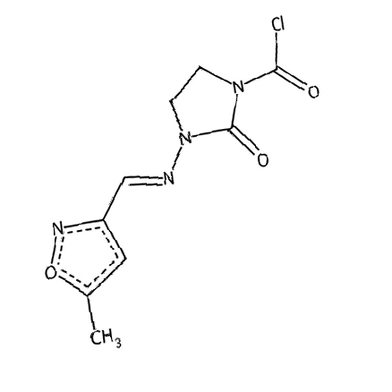 Cc1cc(C=NN2CCN(C(=O)Cl)C2=O)no1